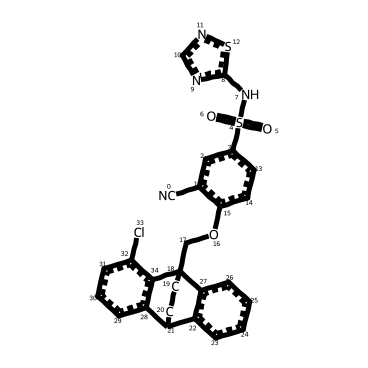 N#Cc1cc(S(=O)(=O)Nc2ncns2)ccc1OCC12CCC(c3ccccc31)c1cccc(Cl)c12